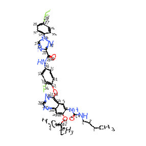 CCCCNC(=O)Nc1cc2c(Oc3ccc(NC(=O)c4ncn(-c5ccc(F)cc5)n4)cc3F)ncnc2cc1OC(C)C